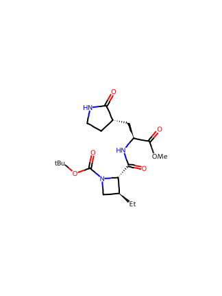 CC[C@H]1CN(C(=O)OC(C)(C)C)[C@@H]1C(=O)N[C@@H](C[C@@H]1CCNC1=O)C(=O)OC